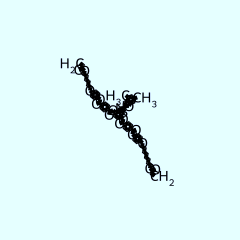 C=CC(=O)OCCCCCCCCOc1ccc(OC(=O)[C@H]2CC[C@H](C(=O)Oc3ccc(OC(=O)[C@H]4CC[C@H](C(=O)Oc5ccc(OCCCCCCOC(=O)C=C)cc5)CC4)c4nc(-c5cc6c(C)cc(C)cc6o5)sc34)CC2)cc1